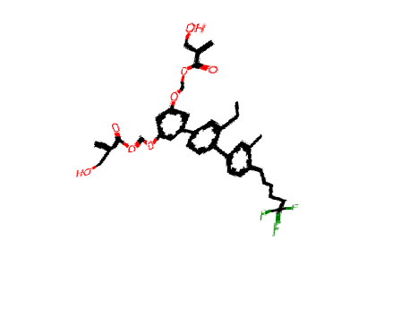 C=C(CO)C(=O)OCOc1cc(OCOC(=O)C(=C)CO)cc(-c2ccc(-c3ccc(CCCCCC(F)(F)F)c(C)c3)c(CC)c2)c1